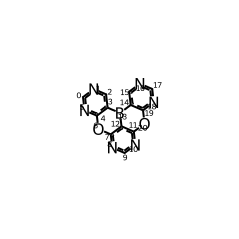 c1ncc2c(n1)Oc1ncnc3c1B2c1cncnc1O3